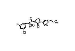 COCCn1cc(N2CC[C@](O)(C(=O)NCc3cc(F)cc(Cl)c3)C2=O)cn1